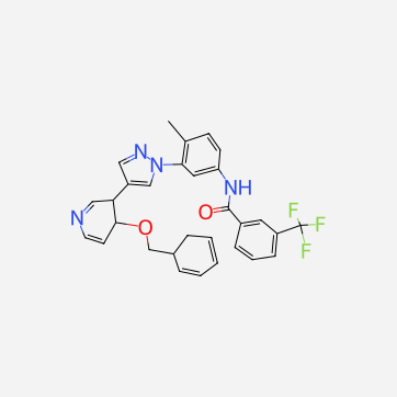 Cc1ccc(NC(=O)c2cccc(C(F)(F)F)c2)cc1-n1cc(C2C=NC=CC2OCC2C=CC=CC2)cn1